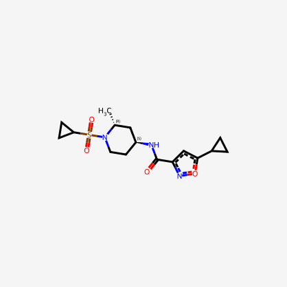 C[C@@H]1C[C@@H](NC(=O)c2cc(C3CC3)on2)CCN1S(=O)(=O)C1CC1